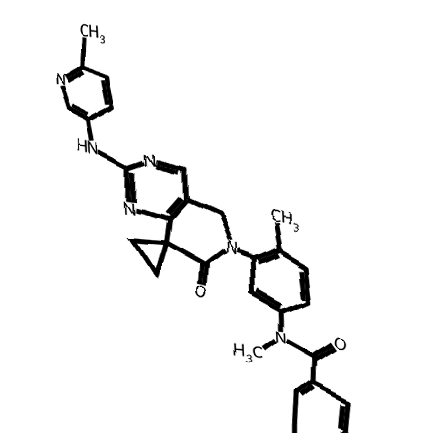 Cc1ccc(Nc2ncc3c(n2)C2(CC2)C(=O)N(c2cc(N(C)C(=O)c4cccc(C(F)(F)F)c4)ccc2C)C3)cn1